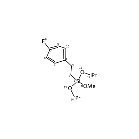 CO[Si](CCc1ccc(F)cc1)(OC(C)C)OC(C)C